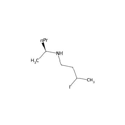 CCC[C@H](C)NCCC(C)I